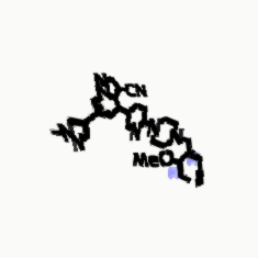 C#C/C=C(CN1CCN(c2ccc(-c3cc(-c4cnn(C)c4)cn4ncc(C#N)c34)cn2)CC1)\C(=C/C)OC